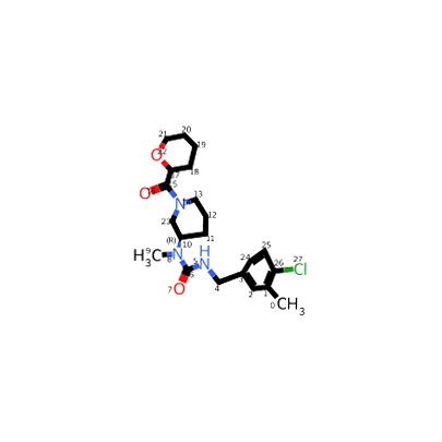 Cc1cc(CNC(=O)N(C)[C@@H]2CCCN(C(=O)C3CCCCO3)C2)ccc1Cl